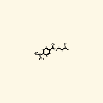 CC(F)CCOC(=O)c1ccc(B(O)O)cc1